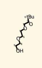 CC(C)(C)C(=O)COCCOCCO